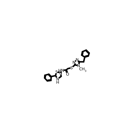 Cn1c(Cc2ccccc2)nnc1SCC(=O)NN1CNC(c2ccccc2)S1